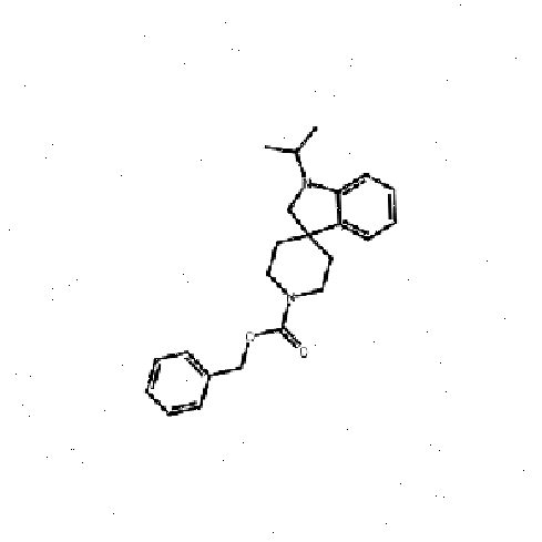 CC(C)N1CC2(CCN(C(=O)OCc3ccccc3)CC2)c2ccccc21